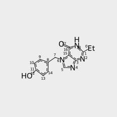 CCc1nc2ncn(Cc3ccc(O)cc3)c2c(=O)[nH]1